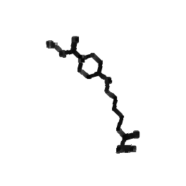 COC(=O)CCCCCOC1CCN(C(=O)OC(C)(C)C)CC1